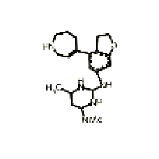 CNC1CC(C)NC(Nc2cc3c(c(C4=CCNCCC4)c2)CCO3)N1